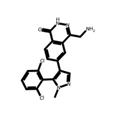 Cn1ncc(-c2ccc3c(=O)[nH]nc(CN)c3c2)c1-c1c(Cl)cccc1Cl